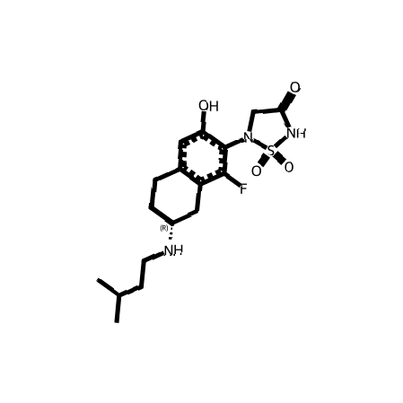 CC(C)CCN[C@@H]1CCc2cc(O)c(N3CC(=O)NS3(=O)=O)c(F)c2C1